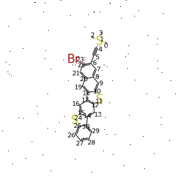 CS(C)(C)C#Cc1cc2cc3sc4cc5c(cc4c3cc2cc1Br)sc1ccccc15